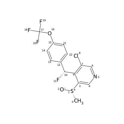 C[S@+]([O-])c1cncc(Cl)c1[C@H](F)c1ccc(OC(F)(F)F)cc1